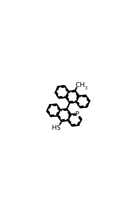 Cc1c2ccccc2c(-c2c3ccccc3c(S)c3cccpc23)c2ccccc12